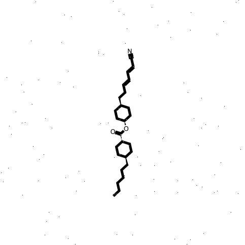 CCCCCC[C@H]1CC[C@H](C(=O)O[C@H]2CC[C@H](CCC=CC=CC#N)CC2)CC1